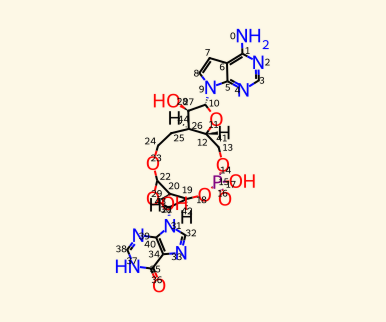 Nc1ncnc2c1ccn2[C@@H]1O[C@@H]2COP(=O)(O)O[C@@H]3[C@H](O)C(OCC[C@H]2[C@H]1O)O[C@H]3n1cnc2c(=O)[nH]cnc21